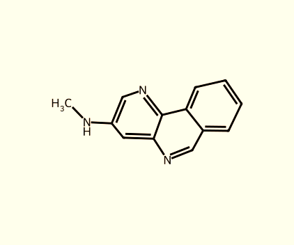 CNc1cnc2c(c1)ncc1ccccc12